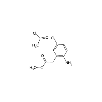 CC(=O)Cl.COC(=O)Cc1cc(Cl)ccc1N